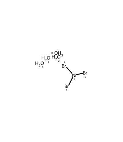 O.O.O.O.[Br][Ni]([Br])[Br]